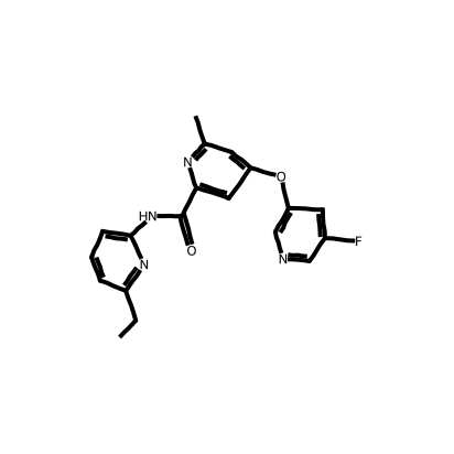 CCc1cccc(NC(=O)c2cc(Oc3cncc(F)c3)cc(C)n2)n1